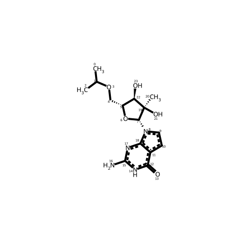 CC(C)OC[C@H]1O[C@@H](n2ccc3c(=O)[nH]c(N)nc32)[C@](C)(O)[C@@H]1O